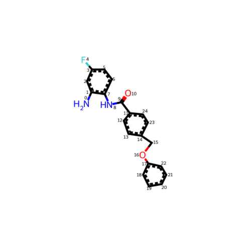 Nc1cc(F)ccc1NC(=O)c1ccc(COc2ccccc2)cc1